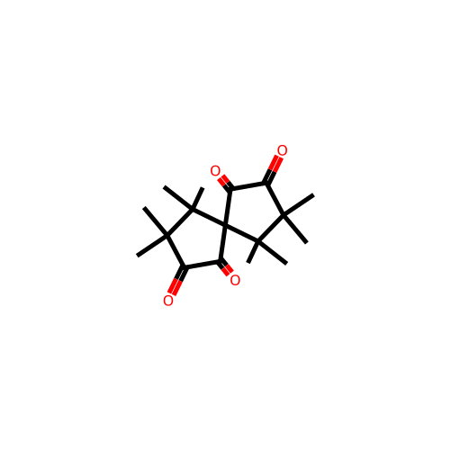 CC1(C)C(=O)C(=O)C2(C(=O)C(=O)C(C)(C)C2(C)C)C1(C)C